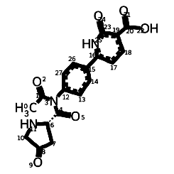 CC(=O)N(C(=O)[C@@H]1CC(=O)CN1)c1ccc(-c2ccc(C(=O)O)c(=O)[nH]2)cc1